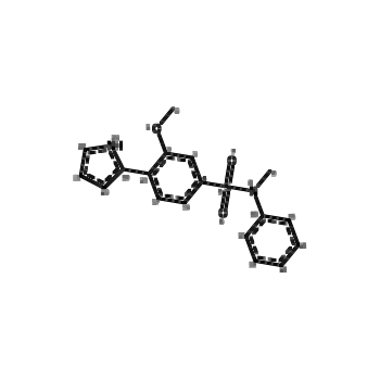 COc1cc(S(=O)(=O)N(C)c2ccccc2)ccc1-c1ccc[nH]1